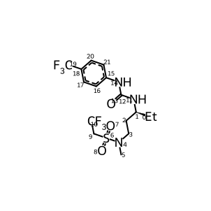 CC[C@@H](CCN(C)S(=O)(=O)CC(F)(F)F)NC(=O)Nc1ccc(C(F)(F)F)cc1